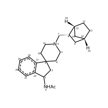 CC(=O)NC1CC2(CCN(C[C@H]3C[C@H]4CC[C@@H]3C4)CC2)c2ccccc21